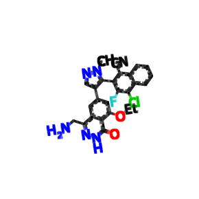 CCOc1cc(-c2cnn(C)c2-c2c(F)c(Cl)c3ccccc3c2C#N)cc2c(CN)n[nH]c(=O)c12